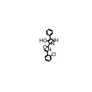 Oc1c(-c2nc(-c3ccccc3Cl)co2)n[nH]c1-c1ccccc1